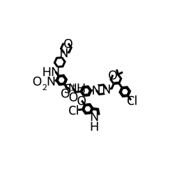 CC1(C)CC(c2ccc(Cl)cc2)=C(CN2CCN(c3ccc(C(=O)N[S+]([O-])c4ccc(NC5CCC(N6CCOCC6)CC5)c([N+](=O)[O-])c4)c(Oc4cc5cc[nH]c5cc4Cl)c3)CC2)CO1